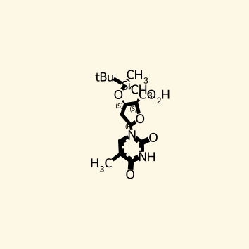 Cc1cn([C@H]2C[C@H](O[Si](C)(C)C(C)(C)C)[C@@H](C(=O)O)O2)c(=O)[nH]c1=O